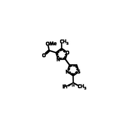 COC(=O)c1nc(-c2csc([C@@H](C)C(C)C)n2)oc1C